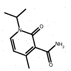 Cc1ccn(C(C)C)c(=O)c1C(N)=O